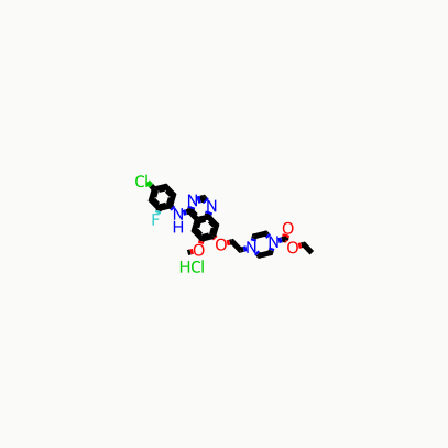 CCOC(=O)N1CCN(CCOc2cc3ncnc(Nc4ccc(Cl)cc4F)c3cc2OC)CC1.Cl